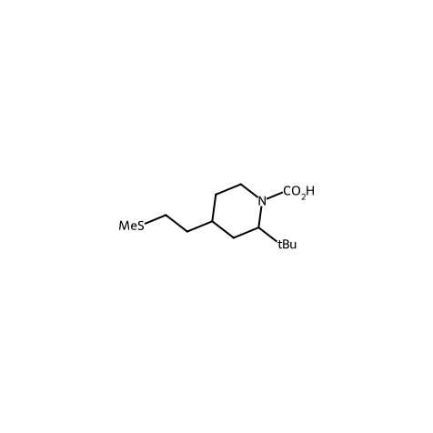 CSCCC1CCN(C(=O)O)C(C(C)(C)C)C1